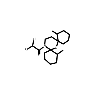 CC1CCCCC12CCN(C(=O)C(Cl)Cl)C1(CCCCC1C)O2